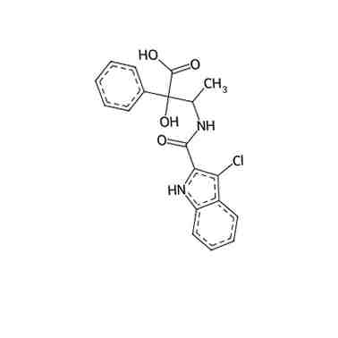 CC(NC(=O)c1[nH]c2ccccc2c1Cl)C(O)(C(=O)O)c1ccccc1